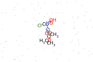 Cc1cc(OC(C)C)ccc1S(=O)(=O)N1CC=C(c2cn(CC(=O)O)c3ccc(Cl)cc23)CC1